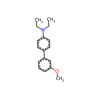 CCN(CC)c1ccc(-c2[c]ccc(OC)c2)cc1